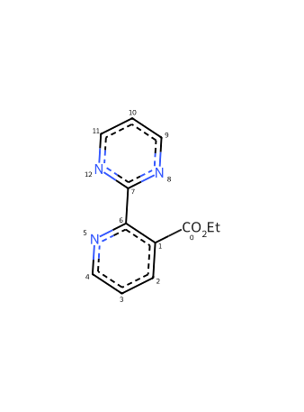 CCOC(=O)c1cccnc1-c1ncccn1